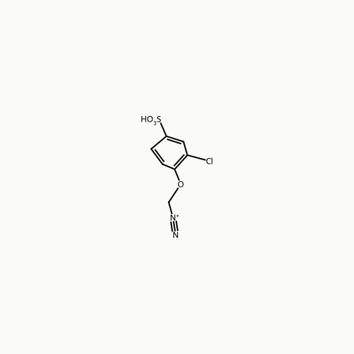 N#[N+]COc1ccc(S(=O)(=O)O)cc1Cl